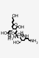 NCC=C1C[C@H](CO)[C@H](C[C@](N)(O)C(O)=C[C@@H]2C(O)OC(C=CCO)=C[C@H]2CC=C(O)O)NN1